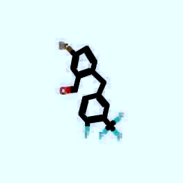 O=Cc1cc(Br)ccc1Cc1ccc(F)c(C(F)(F)F)c1